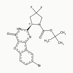 CC(C)(C)OC(=O)N1CC(F)(F)C[C@@H]1c1nc2c(oc3ccc(Br)cc32)c(=O)[nH]1